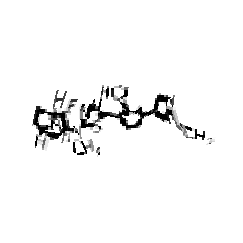 CN(c1nnc(-c2ccc(-c3cnn(C)c3)cc2O)s1)[C@H]1C[C@@H]2CC[C@@H](N2)[C@H]1F